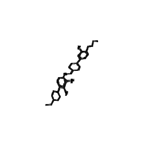 CCCCc1ccc(C2CCC(COc3ccc(C4CCC(CC)CC4)c(F)c3F)CC2)cc1F